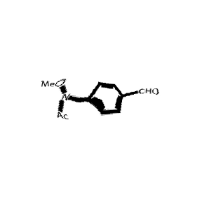 CON(C(C)=O)c1ccc(C=O)cc1